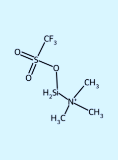 C[N+](C)(C)[SiH2]OS(=O)(=O)C(F)(F)F